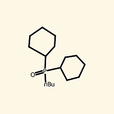 CCCCP(=O)(C1CCCCC1)C1CCCCC1